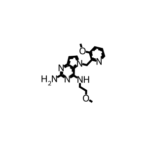 COCCNc1nc(N)nc2ccn(Cc3ncccc3OC)c12